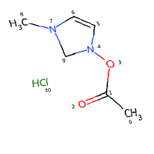 CC(=O)ON1C=CN(C)C1.Cl